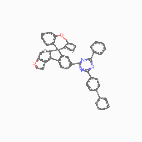 c1ccc(-c2ccc(-c3nc(-c4ccccc4)nc(-c4ccc5c(c4)C4(c6ccccc6Oc6ccccc64)c4ccc6occc6c4-5)n3)cc2)cc1